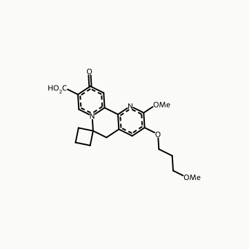 COCCCOc1cc2c(nc1OC)-c1cc(=O)c(C(=O)O)cn1C1(CCC1)C2